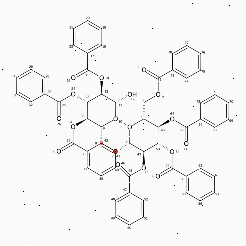 O=C(OC[C@H]1O[C@@H](OC[C@H]2O[C@@H](O)[C@H](OC(=O)c3ccccc3)[C@@H](OC(=O)c3ccccc3)[C@@H]2OC(=O)c2ccccc2)[C@H](OC(=O)c2ccccc2)[C@@H](OC(=O)c2ccccc2)[C@@H]1OC(=O)c1ccccc1)c1ccccc1